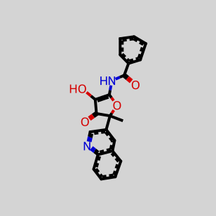 CC1(c2cnc3ccccc3c2)OC(NC(=O)c2ccccc2)=C(O)C1=O